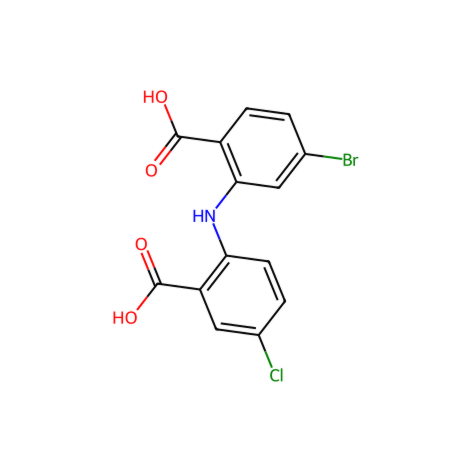 O=C(O)c1ccc(Br)cc1Nc1ccc(Cl)cc1C(=O)O